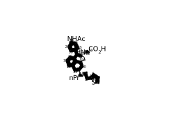 CCCN(CCc1cccs1)[C@H]1CCc2c(cccc2C(C(=O)NCC(=O)O)c2ccc(NC(C)=O)cc2)C1